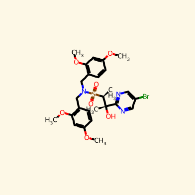 COc1ccc(CN(Cc2ccc(OC)cc2OC)S(=O)(=O)[C@@H](C)[C@@](C)(O)c2ncc(Br)cn2)c(OC)c1